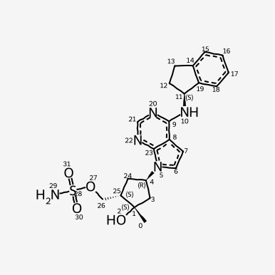 C[C@]1(O)C[C@H](n2ccc3c(N[C@H]4CCc5ccccc54)ncnc32)C[C@H]1COS(N)(=O)=O